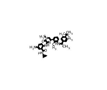 C=C(Nc1cccc(-c2cn(C)c(=O)c(Nc3ccc(N)cc3C(=O)NC3CC3)n2)c1C)c1ccc(C(C)(C)C)cc1